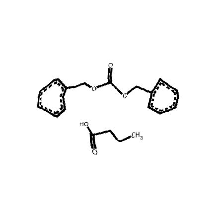 CCCC(=O)O.O=C(OCc1ccccc1)OCc1ccccc1